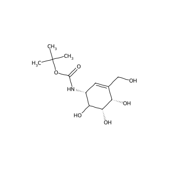 CC(C)(C)OC(=O)N[C@@H]1C=C(CO)[C@H](O)[C@H](O)C1O